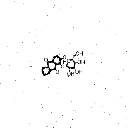 O=C1c2ccccc2C(=O)c2c1ccc(O)c2O[C@@H]1O[C@H](CO)[C@H](O)[C@H](O)[C@H]1O